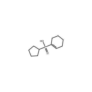 O=P(O)(C1=CCCCC1)C1CCCC1